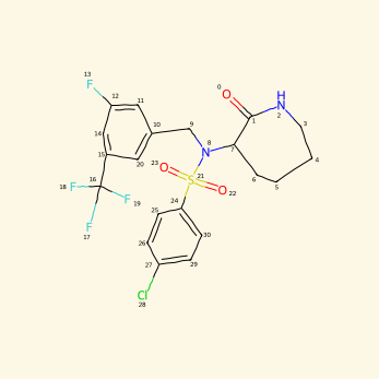 O=C1NCCCCC1N(Cc1cc(F)cc(C(F)(F)F)c1)S(=O)(=O)c1ccc(Cl)cc1